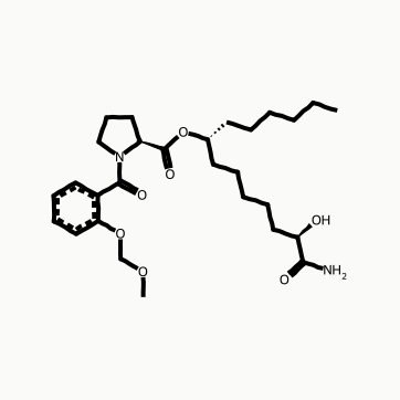 CCCCCC[C@H](CCCCC[C@@H](O)C(N)=O)OC(=O)[C@@H]1CCCN1C(=O)c1ccccc1OCOC